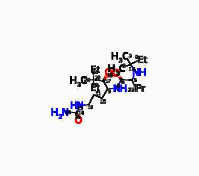 CCC(C)(C)NC(C(=O)NC(CCCNC(N)=O)C(=O)C(C)(CC)CC)C(C)C